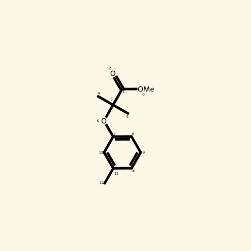 COC(=O)C(C)(C)Oc1cccc(C)c1